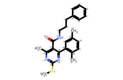 CSc1nc(C)c(C(=O)NCCCc2ccccc2)c(-c2cc(C)ccc2C)n1